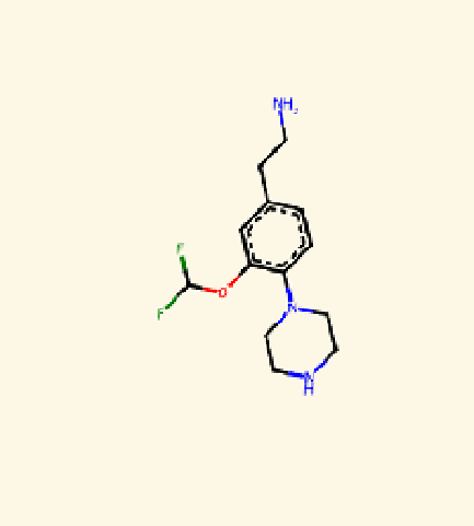 NCCc1ccc(N2CCNCC2)c(OC(F)F)c1